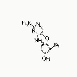 CC(C)c1cc(O)ccc1Oc1cnc(N)nc1N